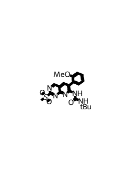 COc1ccccc1-c1cc2cnc(S(C)(=O)=O)nc2nc1NC(=O)NC(C)(C)C